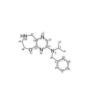 CC(C)N(Cc1ccccc1)c1cnc2c(n1)OCCNC2